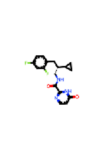 O=C(NC[C@H](Cc1ccc(F)cc1F)C1CC1)c1nccc(=O)[nH]1